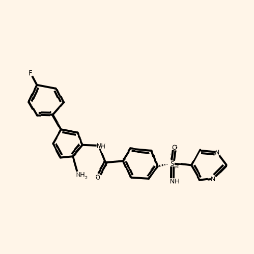 N=[S@](=O)(c1ccc(C(=O)Nc2cc(-c3ccc(F)cc3)ccc2N)cc1)c1cncnc1